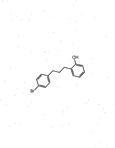 Oc1ccccc1CCCc1ccc(Br)cc1